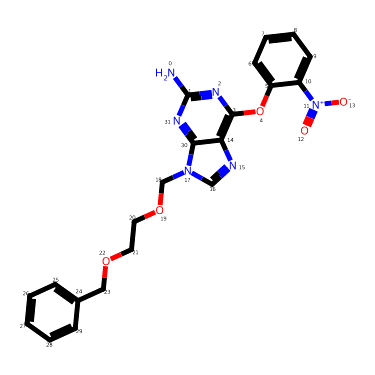 Nc1nc(Oc2ccccc2[N+](=O)[O-])c2ncn(COCCOCc3ccccc3)c2n1